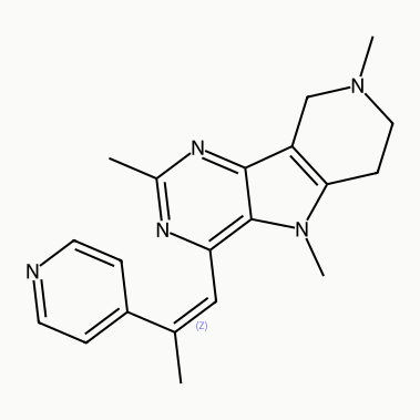 C/C(=C/c1nc(C)nc2c3c(n(C)c12)CCN(C)C3)c1ccncc1